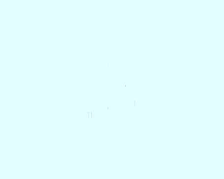 O=S(=O)([O-])[S-].[Tl+].[Tl+]